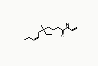 C=CNC(=O)CCCC(C)(CC)C/C=C\CC